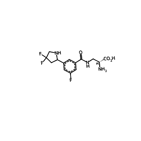 N[C@H](CNC(=O)c1cc(F)cc(C2CC(F)(F)CN2)c1)C(=O)O